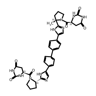 C[C@@]1(c2ncc(-c3ccc(-c4ccc(-c5cnc([C@@H]6CCCN6C(=O)[C@@H]6CC(=O)NC(=O)N6)[nH]5)cc4)cc3)[nH]2)CCCN1C(=O)[C@@H]1CC(=O)NC(=O)N1